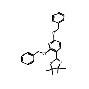 CC1(C)OC(c2ccc(OCc3ccccc3)nc2OCc2ccccc2)OC1(C)C